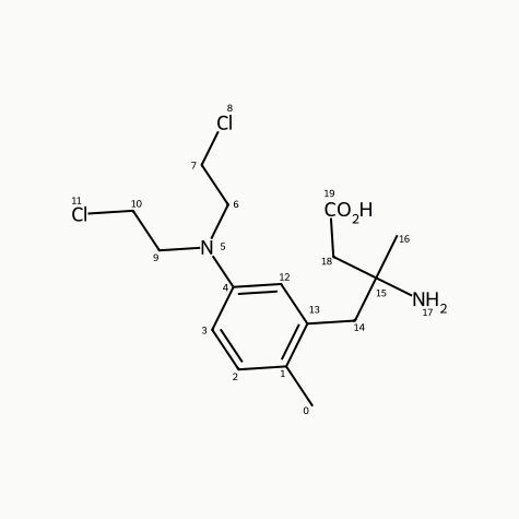 Cc1ccc(N(CCCl)CCCl)cc1CC(C)(N)CC(=O)O